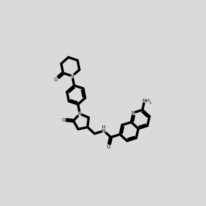 Nc1ccc2ccc(C(=O)NCC3CC(=O)N(c4ccc(N5CCCCC5=O)cc4)C3)cc2n1